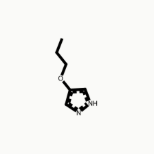 CCCOc1cn[nH]c1